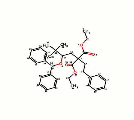 CCOC(=O)C(CCc1ccccc1)(CC(O[SiH](c1ccccc1)c1ccccc1)C(C)(C)C)C(=O)OCC